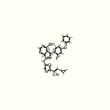 N#CC(=CC1CC1)c1ncc(Cn2nc(-c3ccc(Oc4ccccc4)cc3F)c3c(N)ncnc32)o1